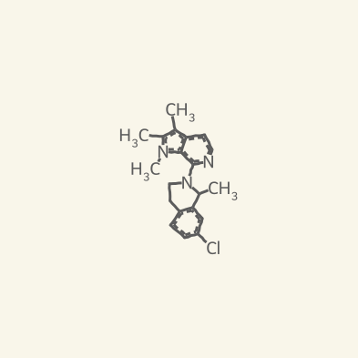 Cc1c(C)n(C)c2c(N3CCc4ccc(Cl)cc4C3C)nccc12